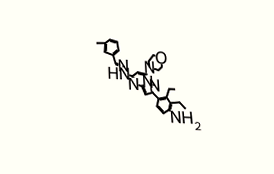 CCc1c(N)ccc(-c2cc3nc(NN=Cc4cccc(C)c4)cc(N4CCOCC4)n3n2)c1CC